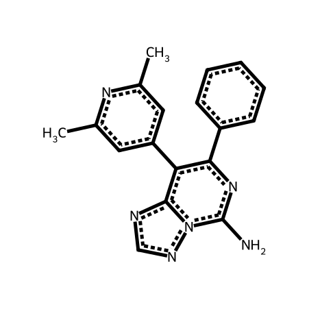 Cc1cc(-c2c(-c3ccccc3)nc(N)n3ncnc23)cc(C)n1